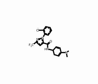 CN(C)C1=CCC(NC(=O)c2cc(C(F)(F)F)nn2-c2ccccc2Cl)C=C1